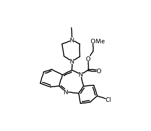 COCOC(=O)N1C(N2CCN(C)CC2)=c2ccccc2=Nc2ccc(Cl)cc21